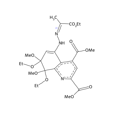 CCOC(=O)/C(C)=N\NC1=CC(OC)(OCC)C(OC)(OCC)c2nc(C(=O)OC)cc(C(=O)OC)c21